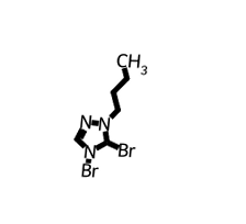 CCCCN1N=CN(Br)C1Br